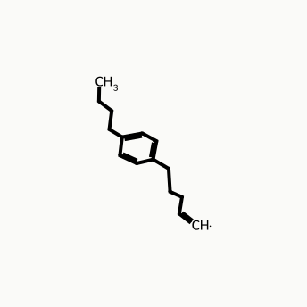 [CH]=CCCCc1ccc(CCCC)cc1